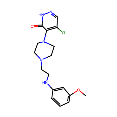 COc1cccc(NCCN2CCN(c3c(Cl)cn[nH]c3=O)CC2)c1